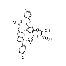 CCN(CC)CCN(Cc1ccc(-c2ccc(Cl)cc2)cc1)C(=O)Cn1cc(Cc2cnn(C)c2)c(=O)nc1SCc1ccc(F)cc1.O=C(O)C(O)C(O)C(=O)O